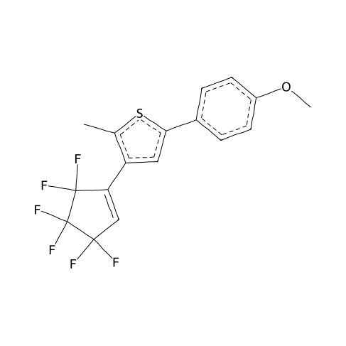 COc1ccc(-c2cc(C3=CC(F)(F)C(F)(F)C3(F)F)c(C)s2)cc1